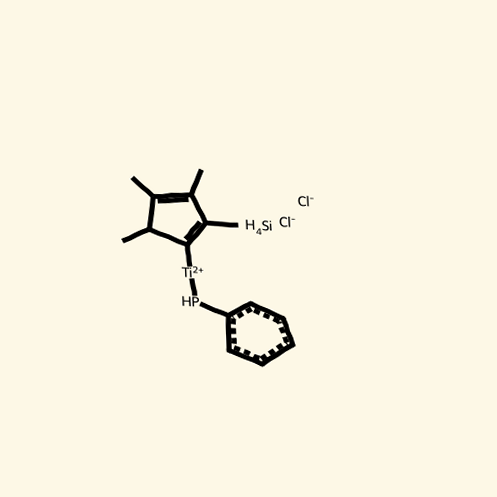 CC1=C(C)C(C)[C]([Ti+2][PH]c2ccccc2)=C1C.[Cl-].[Cl-].[SiH4]